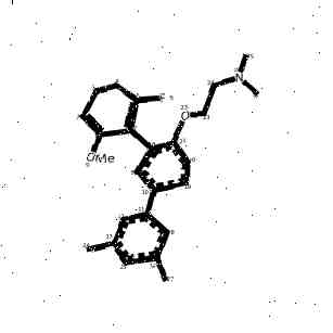 COC1=CC[CH]C(F)=C1c1cc(-c2cc(C)cc(C)c2)ccc1OCCN(C)C